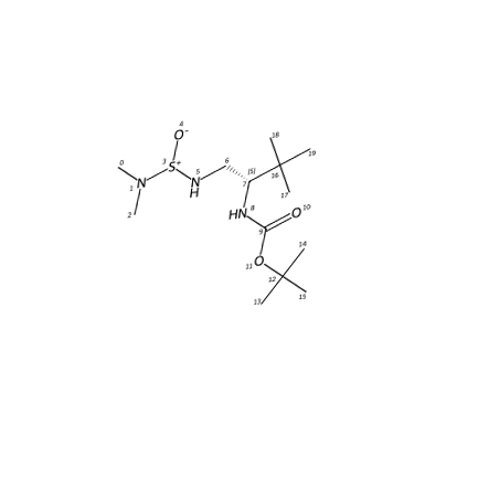 CN(C)[S+]([O-])NC[C@@H](NC(=O)OC(C)(C)C)C(C)(C)C